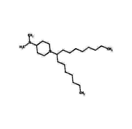 CCCCCCCCC(CCCCCCC)N1CCC(N(C)C)CC1